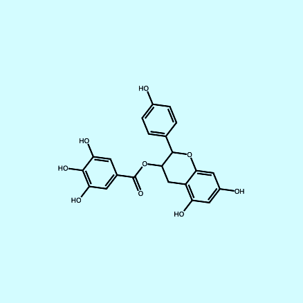 O=C(OC1Cc2c(O)cc(O)cc2OC1c1ccc(O)cc1)c1cc(O)c(O)c(O)c1